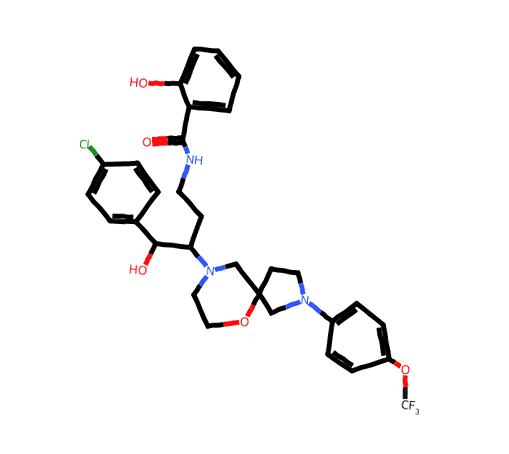 O=C(NCCC(C(O)c1ccc(Cl)cc1)N1CCOC2(CCN(c3ccc(OC(F)(F)F)cc3)C2)C1)c1ccccc1O